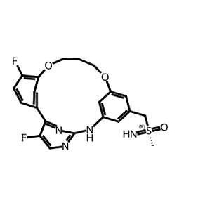 C[S@@](=N)(=O)Cc1cc2cc(c1)OCCCOc1cc(ccc1F)-c1nc(ncc1F)N2